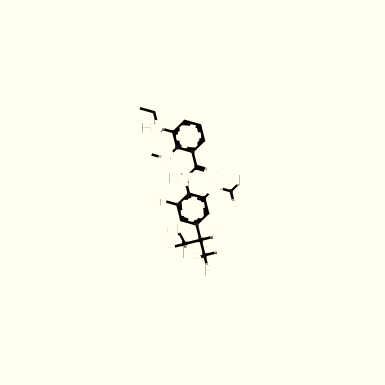 CCNc1cccc(C(=O)Nc2c(Br)cc(C(F)(C(F)(F)F)C(F)(F)Cl)cc2OC(F)F)c1OC